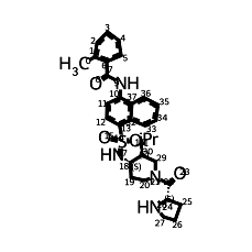 Cc1ccccc1C(=O)Nc1ccc(S(=O)(=O)N[C@H]2CCN(C(=O)[C@@H]3CCCN3)C[C@@H]2C(C)C)c2ccccc12